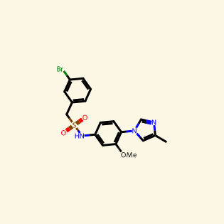 COc1cc(NS(=O)(=O)Cc2cccc(Br)c2)ccc1-n1cnc(C)c1